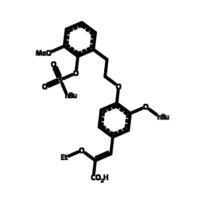 CCCCOc1cc(C=C(OCC)C(=O)O)ccc1OCCc1cccc(OC)c1OS(=O)(=O)CCCC